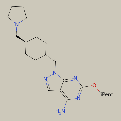 CCCC(C)Oc1nc(N)c2cnn(C[C@H]3CC[C@H](CN4CCCC4)CC3)c2n1